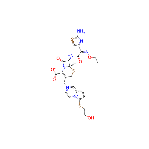 CCO/N=C(\C(=O)N[C@@H]1C(=O)N2C(C(=O)[O-])=C(Cn3cc[n+]4c(SCCO)ccc-4c3)CS[C@@H]12)c1csc(N)n1